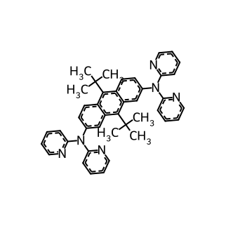 CC(C)(C)c1c2ccc(N(c3ccccn3)c3ccccn3)cc2c(C(C)(C)C)c2cc(N(c3ccccn3)c3ccccn3)ccc12